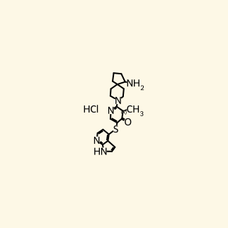 C[C@H]1C(=O)C(Sc2ccnc3[nH]ccc23)=CN=C1N1CCC2(CCCC2N)CC1.Cl